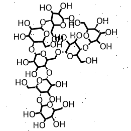 OCC1O[C@H](O[C@@H]2C(CO)O[C@H](O[C@@H]3C(CO[C@H]4OC(CO)[C@@H](O[C@H]5OC(CO)[C@@H](O)C(O)C5O)C(O)C4O)O[C@H](O[C@@H]4C(CO)O[C@H](O[C@@H]5C(CO)O[C@H](O)C(O)C5O)C(O)C4O)C(O)C3O)C(O)C2O)C(O)C(O)[C@@H]1O